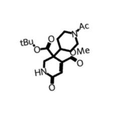 COC(=O)C1=CC(=O)NCC1(C(=O)OC(C)(C)C)C1CCN(C(C)=O)CC1